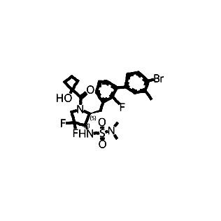 Cc1cc(-c2cccc(C[C@H]3[C@@H](NS(=O)(=O)N(C)C)C(F)(F)CN3C(=O)C3(O)CCC3)c2F)ccc1Br